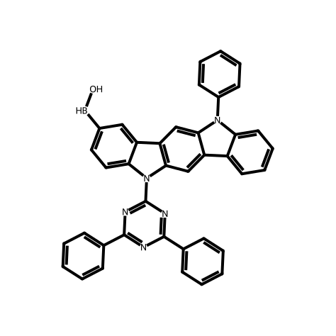 OBc1ccc2c(c1)c1cc3c(cc1n2-c1nc(-c2ccccc2)nc(-c2ccccc2)n1)c1ccccc1n3-c1ccccc1